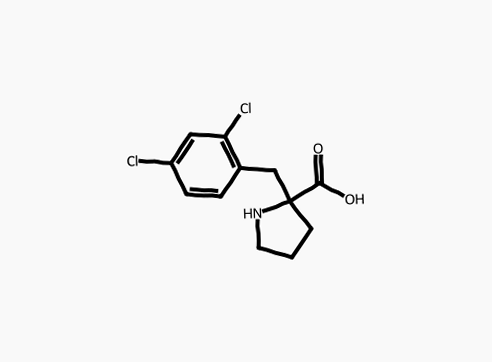 O=C(O)C1(Cc2ccc(Cl)cc2Cl)CCCN1